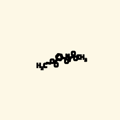 C=CCOC(=O)c1cccc(-c2nc(C(=O)OC)co2)c1